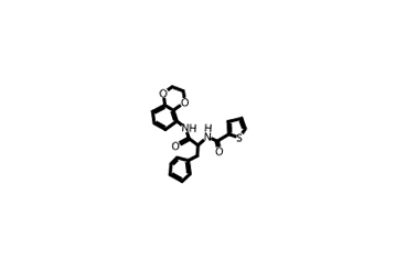 O=C(NC(Cc1ccccc1)C(=O)Nc1cccc2c1OCCO2)c1cccs1